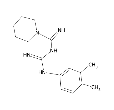 Cc1ccc(NC(=N)NC(=N)N2CCCCC2)cc1C